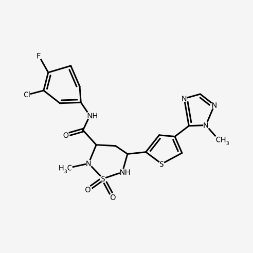 CN1C(C(=O)Nc2ccc(F)c(Cl)c2)CC(c2cc(-c3ncnn3C)cs2)NS1(=O)=O